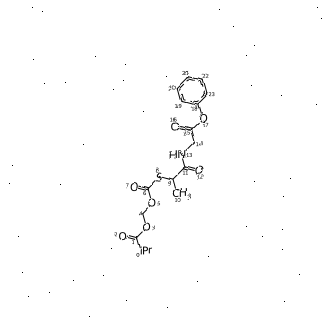 CC(C)C(=O)OCOC(=O)SC(C)C(=O)NCC(=O)Oc1ccccc1